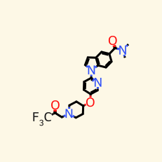 CN(C)C(=O)c1ccc2c(ccn2-c2ccc(OC3CCN(CC(=O)C(F)(F)F)CC3)cn2)c1